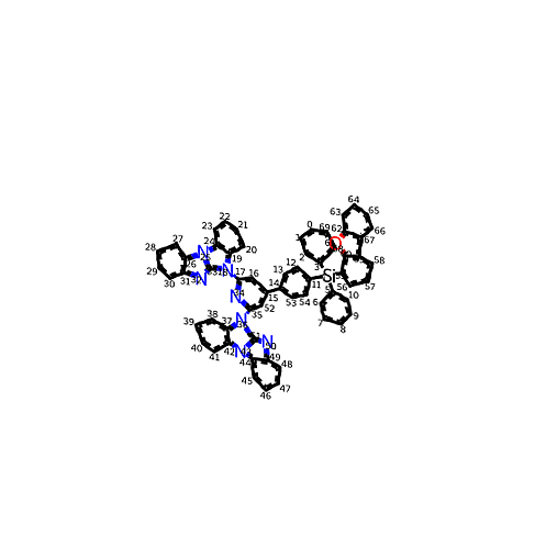 c1ccc([Si](c2ccccc2)(c2ccc(-c3cc(-n4c5ccccc5n5c6ccccc6nc45)nc(-n4c5ccccc5n5c6ccccc6nc45)c3)cc2)c2cccc3c2oc2ccccc23)cc1